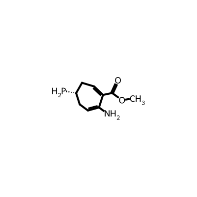 COC(=O)C1=CC[C@@H](P)CC=C1N